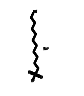 O=S(=O)([O-])CCCCCCCCCCS.[Na+]